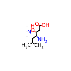 CC(C)C[C@H](N)[C@@H](O)CC(=O)O.[N]